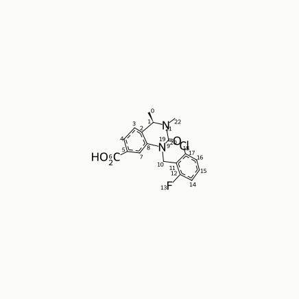 C[C@@H]1c2ccc(C(=O)O)cc2N(Cc2c(F)cccc2Cl)C(=O)N1C